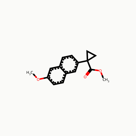 COC(=O)C1(c2ccc3cc(OC)ccc3c2)CC1